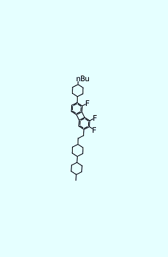 CCCCC1CCC(c2ccc3c(c2F)-c2c-3cc(CCC3CCC(C4CCC(C)CC4)CC3)c(F)c2F)CC1